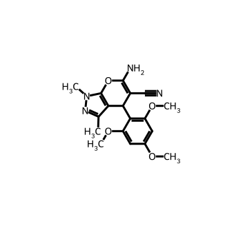 COc1cc(OC)c(C2C(C#N)=C(N)Oc3c2c(C)nn3C)c(OC)c1